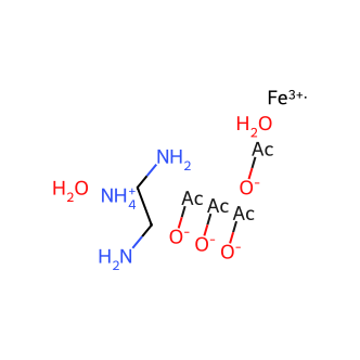 CC(=O)[O-].CC(=O)[O-].CC(=O)[O-].CC(=O)[O-].NCCN.O.O.[Fe+3].[NH4+]